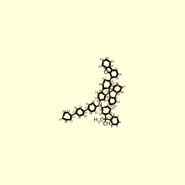 CC1(C)c2ccccc2-c2ccc(N(c3ccc(-c4ccc(-c5ccccc5)cc4)cc3)c3ccc4c(c3)C3(c5ccccc5-c5ccccc53)c3cc(-c5cccc6c5oc5ccccc56)ccc3-4)cc21